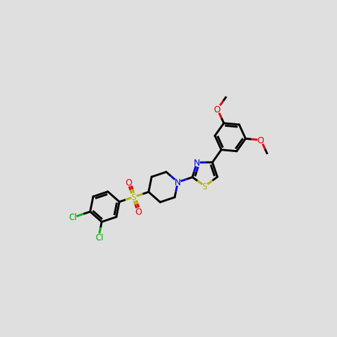 COc1cc(OC)cc(-c2csc(N3CCC(S(=O)(=O)c4ccc(Cl)c(Cl)c4)CC3)n2)c1